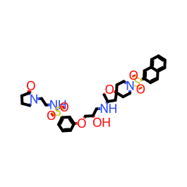 O=C1CCCN1CCNS(=O)(=O)c1cccc(OCC(O)CNC2COC3(CCN(S(=O)(=O)c4ccc5ccccc5c4)CC3)C2)c1